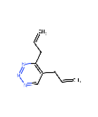 C=CCc1[c]nnnc1CC=C